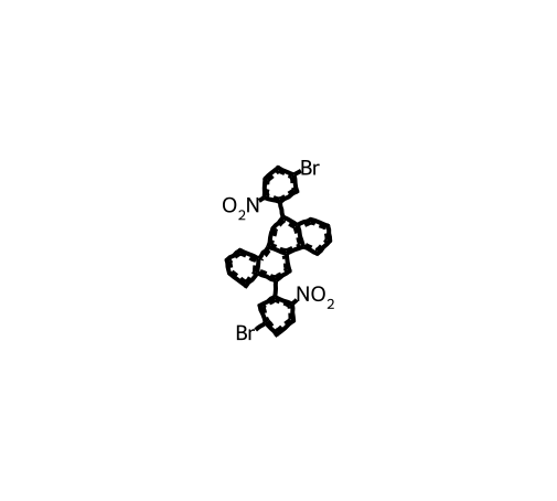 O=[N+]([O-])c1ccc(Br)cc1-c1cc2c3ccccc3c(-c3cc(Br)ccc3[N+](=O)[O-])cc2c2ccccc12